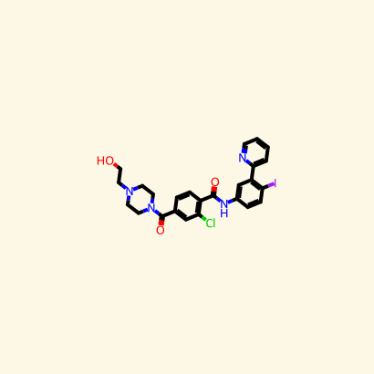 O=C(Nc1ccc(I)c(-c2ccccn2)c1)c1ccc(C(=O)N2CCN(CCO)CC2)cc1Cl